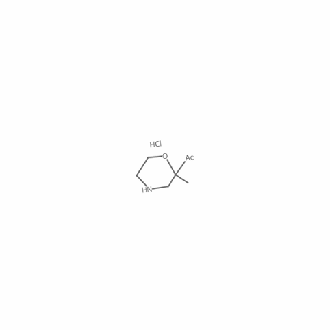 CC(=O)C1(C)CNCCO1.Cl